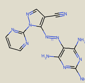 N#Cc1cnn(-c2ncccn2)c1/N=N/c1c(N)nc(N)nc1N